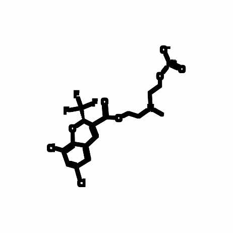 CN(CCOC(=O)C1=Cc2cc(Cl)cc(Cl)c2O[C@@H]1C(F)(F)F)CCO[N+](=O)[O-]